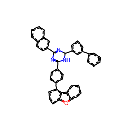 c1ccc(-c2cccc(C3N=C(c4ccc5ccccc5c4)N=C(c4ccc(-c5cccc6oc7ccccc7c56)cc4)N3)c2)cc1